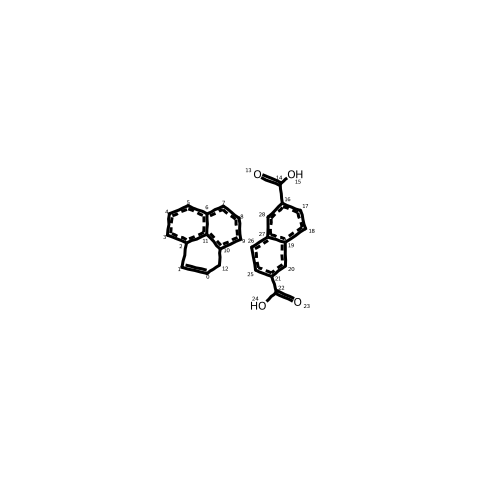 C1=Cc2cccc3cccc(c23)C1.O=C(O)c1ccc2cc(C(=O)O)ccc2c1